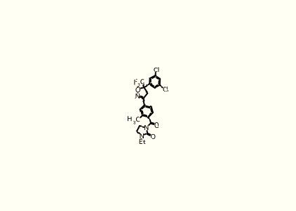 CCN1CCN(C(=O)c2ccc(C3=NOC(c4cc(Cl)cc(Cl)c4)(C(F)(F)F)C3)cc2C)C1=O